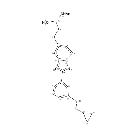 CC(=O)N[C@@H](C)COc1ccc2nc(-c3cccc(OCC4CC4)c3)oc2c1